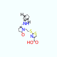 O=C(O)c1csc(SCCN2C(=O)CC[C@@H]2CN[C@@H]2C[C@@H]3CC[C@@H]2C3)n1